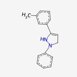 Cc1cccc(C2=CCN(c3ccccc3)N2)c1